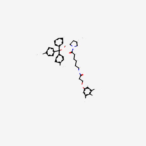 COc1ccc(C(OC[C@@H]2C[C@@H](OC)CN2C(=O)CCCCCNC(=O)CCOc2cc(C)c(C(=O)O)c(C)c2)(c2ccccc2)c2ccc(OC)cc2)cc1